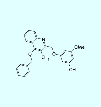 COc1cc(O)cc(OCc2nc3ccccc3c(OCc3ccccc3)c2C)c1